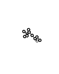 c1ccc(-n2c3c4ccccc4ccc3c3c(-c4ccc(-c5ccc6c7c(cccc57)-c5ccccc5O6)cc4)cc4ccccc4c32)cc1